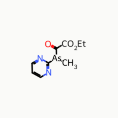 CCOC(=O)C(=O)[As](C)c1ncccn1